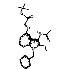 CCc1c(NC(C)=O)c2c(OCC(=O)OC(C)(C)C)cccc2n1Cc1ccccc1